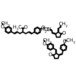 C=CC=C1CCC(=O)C1=CC=C.COc1ccc(C=C2CCC(=O)C2=Cc2ccc(OC)cc2)cc1.COc1ccc(C=CCC(CC=Cc2ccc(OC)cc2)C(C)=O)cc1